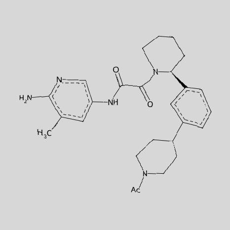 CC(=O)N1CCC(c2cccc([C@@H]3CCCCN3C(=O)C(=O)Nc3cnc(N)c(C)c3)c2)CC1